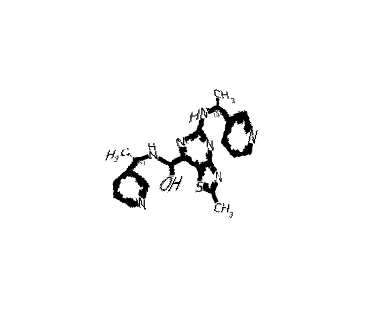 Cc1nc2nc(N[C@@H](C)c3cccnc3)nc(C(O)N[C@@H](C)c3cccnc3)c2s1